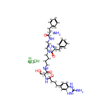 Cl.Cl.Cl.N=C(N)Nc1ccc(CCCC(=O)N[C@@H](CO)C(=O)NCCCCN(CCCNC(=O)[C@@H](N)Cc2ccccc2)C(=O)[C@@H](N)Cc2ccccc2)cc1